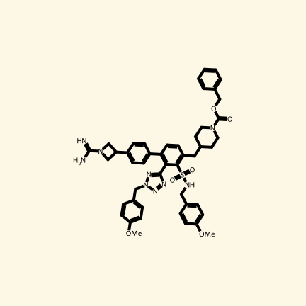 COc1ccc(CNS(=O)(=O)c2c(CC3CCN(C(=O)OCc4ccccc4)CC3)ccc(-c3ccc(C4CN(C(=N)N)C4)cc3)c2-c2nnn(Cc3ccc(OC)cc3)n2)cc1